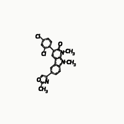 Cc1nc(-c2ccc3c(c2)c2cc(-c4ccc(Cl)cc4Cl)c(=O)n(C)c2n3C)co1